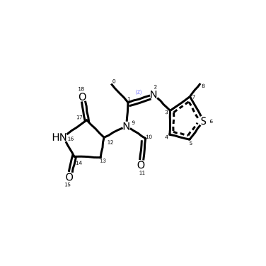 C/C(=N/c1ccsc1C)N(C=O)C1CC(=O)NC1=O